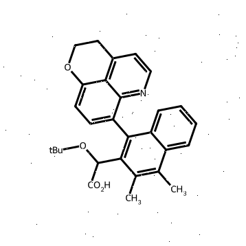 Cc1c(C(OC(C)(C)C)C(=O)O)c(-c2ccc3c4c(ccnc24)CCO3)c2ccccc2c1C